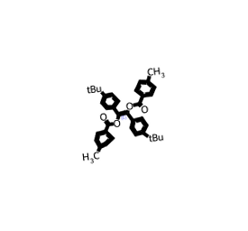 Cc1ccc(C(=O)O/C(=C(/OC(=O)c2ccc(C)cc2)c2ccc(C(C)(C)C)cc2)c2ccc(C(C)(C)C)cc2)cc1